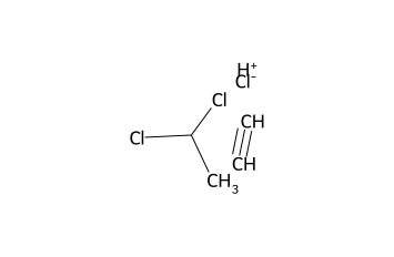 C#C.CC(Cl)Cl.[Cl-].[H+]